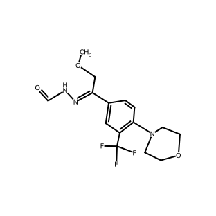 COC/C(=N\NC=O)c1ccc(N2CCOCC2)c(C(F)(F)F)c1